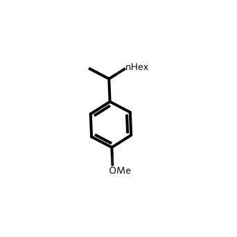 CCCCCCC(C)c1ccc(OC)cc1